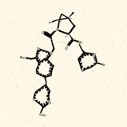 COc1ncc(-c2ccc3c(c2)c(C(C)=O)nn3CC(=O)N2[C@H](C(=O)Nc3cncc(Br)n3)C[C@@]3(C)C[C@@H]23)cn1